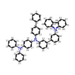 c1ccc(-c2ccc(N(c3ccc(N(c4ccccc4)c4ccccc4)cc3)c3cccc(-c4cccc(-n5c6ccccc6c6ccccc65)c4)c3)cc2)cc1